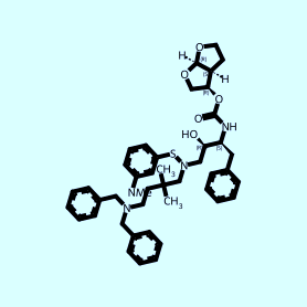 CNc1cccc(SN(C[C@@H](O)[C@H](Cc2ccccc2)NC(=O)O[C@H]2CO[C@H]3OCC[C@H]32)CC(C)(C)CCN(Cc2ccccc2)Cc2ccccc2)c1